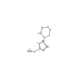 OCc1cnn(C2CCCCO2)c1